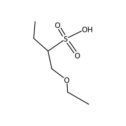 CCOCC(CC)S(=O)(=O)O